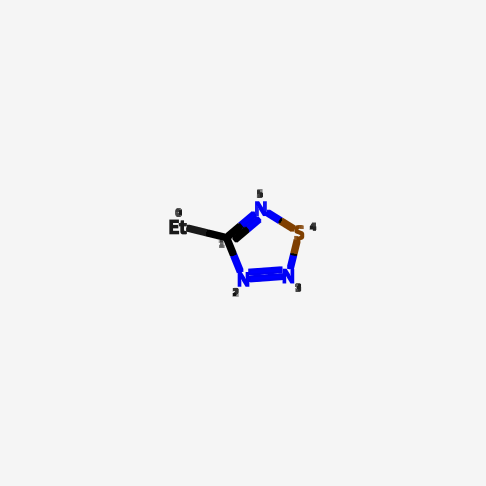 CCc1nnsn1